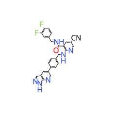 N#Cc1cnc(NCc2ccc(-c3cnc4[nH]ncc4c3)cc2)c(C(=O)NCc2ccc(F)c(F)c2)c1